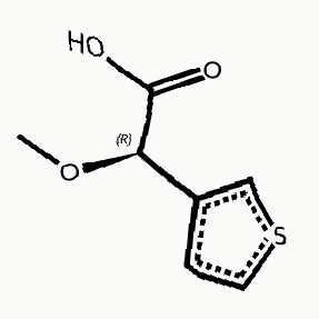 CO[C@@H](C(=O)O)c1ccsc1